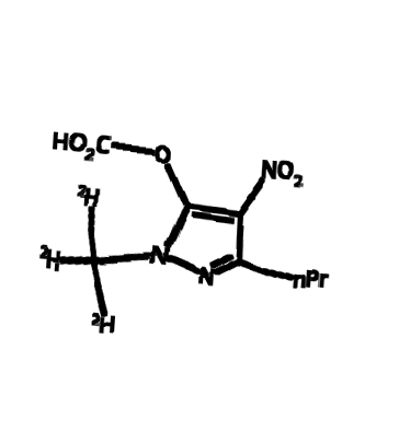 [2H]C([2H])([2H])n1nc(CCC)c([N+](=O)[O-])c1OC(=O)O